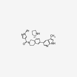 Cc1c[nH]c2ncc(-c3cc4c(c([C@@H]5CCCN5)c3)CN(C(=O)c3cnn(C(C)C)c3)CC4)cc12